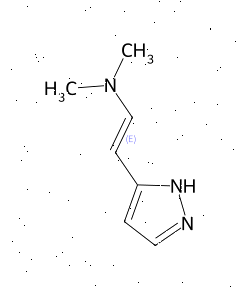 CN(C)/C=C/c1ccn[nH]1